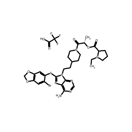 CCN1CCCC1C(=O)O[C@@H](C)C(=O)N1CCC(CCn2c(Sc3cc4c(cc3Br)OCO4)nc3c(N)ncnc32)CC1.O=C(O)C(F)(F)F